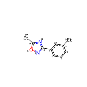 CCc1cccc(-c2noc(CC)n2)c1